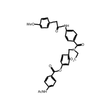 COc1ccc(CC(=O)Nc2ccc(C(=O)N(CC(=O)O)Cc3ccc(OC(=O)c4ccc(NC(C)=O)cc4)cc3)cc2)cc1